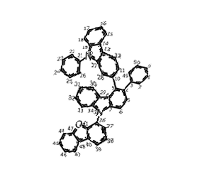 c1ccc(-c2ccc3c(c2-c2ccc4c5ccccc5n(-c5ccccc5)c4c2)c2ccccc2n3-c2cccc3c2oc2ccccc23)cc1